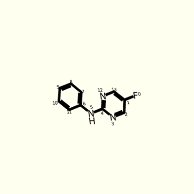 Fc1cnc(Nc2ccccc2)nc1